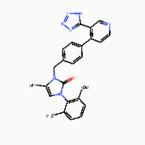 CCCc1cn(-c2c(C)cccc2C(C)(C)C)c(=O)n1Cc1ccc(-c2ccncc2-c2nnn[nH]2)cc1